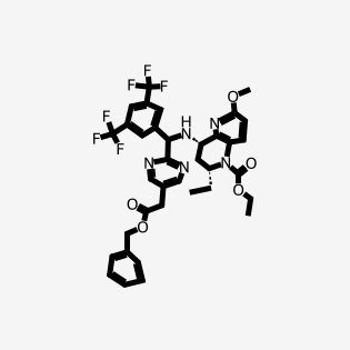 CCOC(=O)N1c2ccc(OC)nc2[C@@H](NC(c2cc(C(F)(F)F)cc(C(F)(F)F)c2)c2ncc(CC(=O)OCc3ccccc3)cn2)C[C@H]1CC